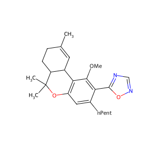 CCCCCc1cc2c(c(OC)c1-c1ncno1)C1C=C(C)CCC1C(C)(C)O2